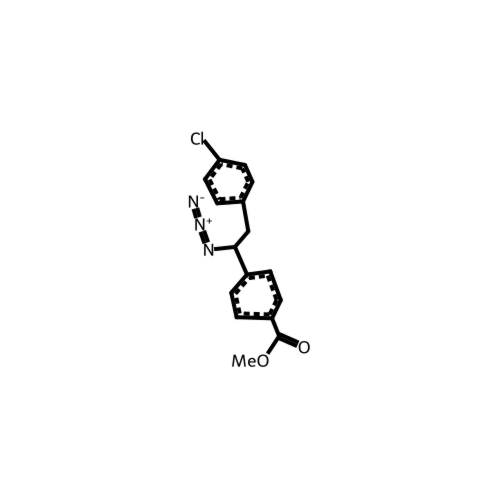 COC(=O)c1ccc(C(Cc2ccc(Cl)cc2)N=[N+]=[N-])cc1